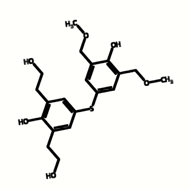 COCc1cc(Sc2cc(CCO)c(O)c(CCO)c2)cc(COC)c1O